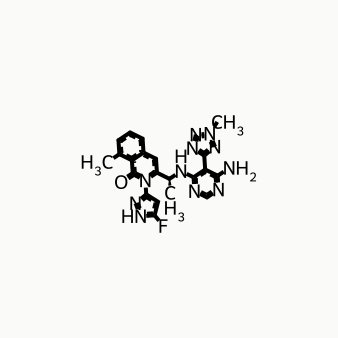 Cc1cccc2cc([C@H](C)Nc3ncnc(N)c3-c3nnn(C)n3)n(-c3cc(F)[nH]n3)c(=O)c12